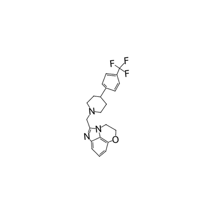 FC(F)(F)c1ccc(C2CCN(Cc3nc4cccc5c4n3CCO5)CC2)cc1